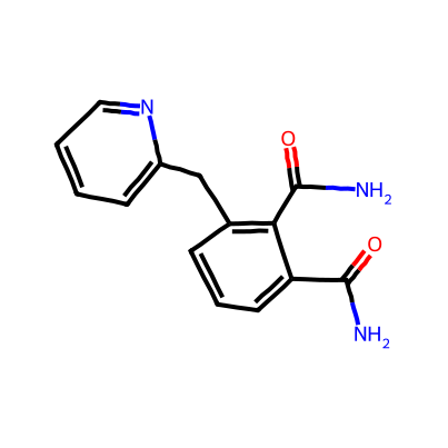 NC(=O)c1cccc(Cc2ccccn2)c1C(N)=O